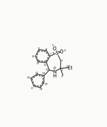 CCC1(C)CS(=O)(=O)c2ccccc2C(c2ccccc2)N1